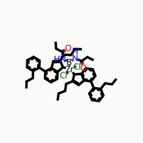 CCCCC1=Cc2c(-c3ccccc3CCC)cccc2[CH]1[Zr]([Cl])([Cl])([B](NC(=O)CC)NC(=O)CC)[CH]1C(CCCC)=Cc2c(-c3ccccc3CCC)cccc21